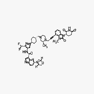 C[C@H]1CN(C[C@H]2CC[C@H](n3cc(NC(=O)c4cnn5ccc(N6C[C@H]7C[C@@H]6CO7)nc45)c(C(F)F)n3)CC2)CCN1CC#Cc1cccc2c1n(C)c(=O)n2C1CCC(=O)NC1=O